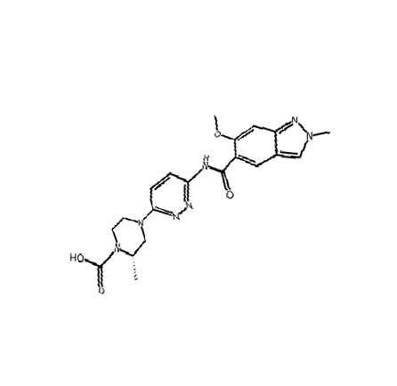 COc1cc2nn(C)cc2cc1C(=O)Nc1ccc(N2CCN(C(=O)O)[C@@H](C)C2)nn1